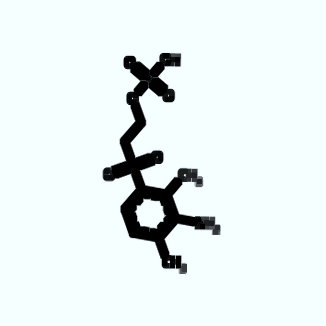 Cc1ccc(S(=O)(=O)CCOS(=O)(=O)O)c(C)c1N